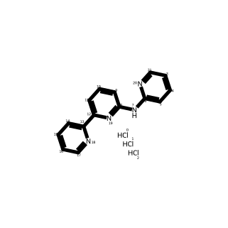 Cl.Cl.Cl.c1ccc(Nc2cccc(-c3ccccn3)n2)nc1